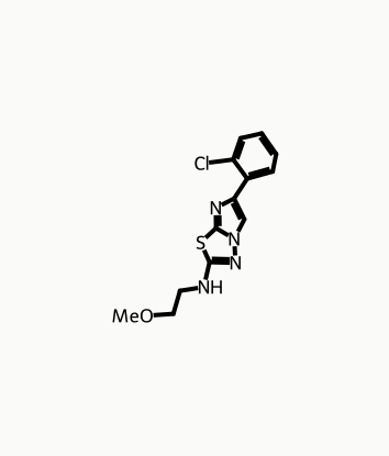 COCCNc1nn2cc(-c3ccccc3Cl)nc2s1